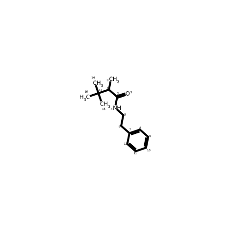 CC(C(=O)NCCc1ccccc1)C(C)(C)C